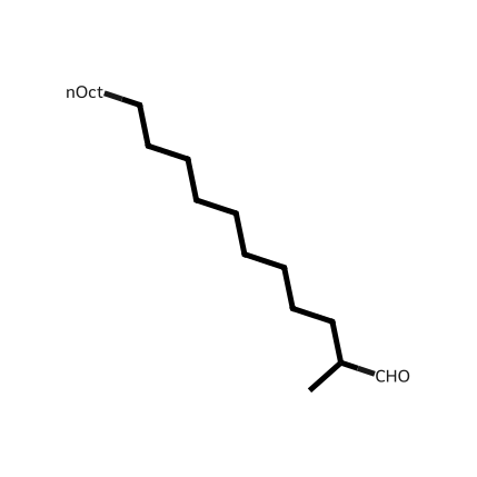 CCCCCCCCCCCCCCCCCC(C)C=O